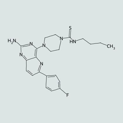 CCCCNC(=S)N1CCN(c2nc(N)nc3ccc(-c4ccc(F)cc4)nc23)CC1